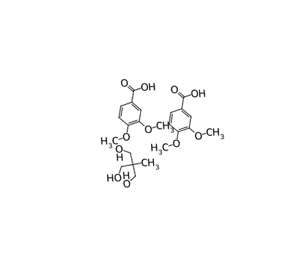 CC(CO)(CO)CO.COc1ccc(C(=O)O)cc1OC.COc1ccc(C(=O)O)cc1OC